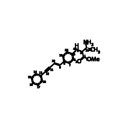 COC(=O)[C@@H](Nc1ccc(C=CC#Cc2ccccc2)cc1)[C@@H](C)N